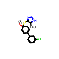 O=C(O)c1[nH]nnc1SC1(OC(F)(F)F)C=CC(c2cccc(Cl)c2)=CC1